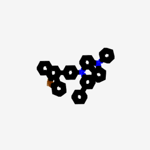 c1ccc(-c2cccc(N(c3ccc(-c4cc5ccccc5c5sc6ccccc6c45)cc3)c3cccc4c3c3ccccc3n4-c3ccccc3)c2)cc1